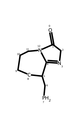 O=C1CN=C2C(CP)CCCCN12